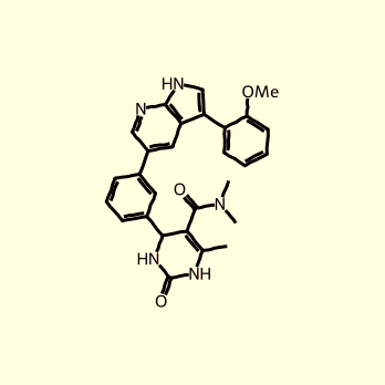 COc1ccccc1-c1c[nH]c2ncc(-c3cccc(C4NC(=O)NC(C)=C4C(=O)N(C)C)c3)cc12